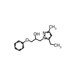 CCc1cc(C)nn1CC(O)COc1ccccc1